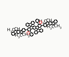 CC1(C)c2ccccc2-c2cc3c(cc21)-c1ccc(-c2cc4c(c5c2oc2ccccc25)-c2cc5c(cc2C42c4ccccc4-c4ccccc42)-c2c(cc(-c4ccc6c(c4)C(C)(C)c4cc7c(cc4-6)C(C)(C)c4ccccc4-7)c4oc6ccccc6c24)C52c4ccccc4-c4ccccc42)cc1C3(C)C